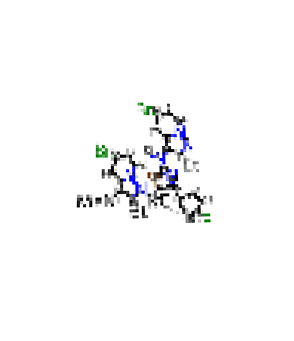 CCc1nn2ccc(Br)cc2c1N(C)c1nc(-c2ccc(F)cc2)c(C#N)s1.CCc1nn2ccc(Br)cc2c1NC